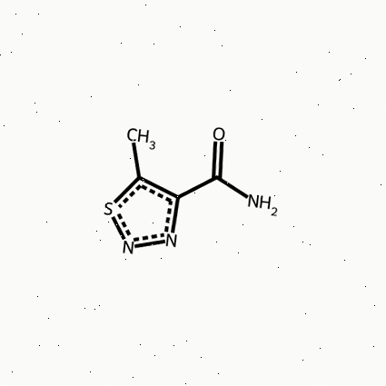 Cc1snnc1C(N)=O